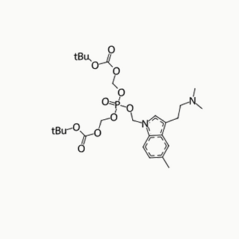 Cc1ccc2c(c1)c(CCN(C)C)cn2COP(=O)(OCOC(=O)OC(C)(C)C)OCOC(=O)OC(C)(C)C